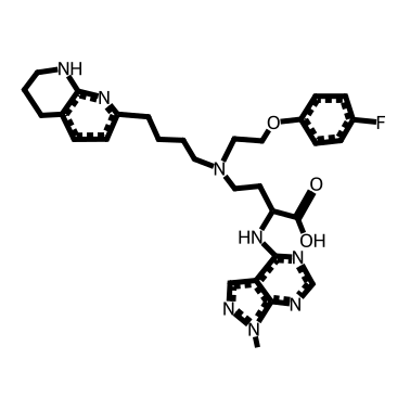 Cn1ncc2c(NC(CCN(CCCCc3ccc4c(n3)NCCC4)CCOc3ccc(F)cc3)C(=O)O)ncnc21